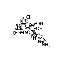 COC1C(Sc2cc(Cl)cnc2N2CC3(COC3)C2)OC(CO)C(O)C1n1cc(-c2csc(N)n2)nn1